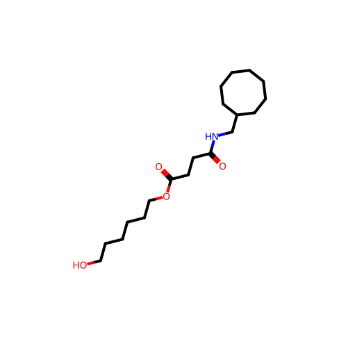 O=C(CCC(=O)OCCCCCCO)NCC1CCCCCCC1